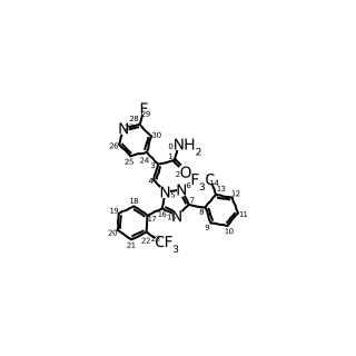 NC(=O)/C(=C\n1nc(-c2ccccc2C(F)(F)F)nc1-c1ccccc1C(F)(F)F)c1ccnc(F)c1